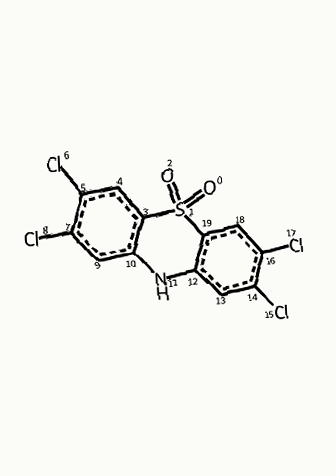 O=S1(=O)c2cc(Cl)c(Cl)cc2Nc2cc(Cl)c(Cl)cc21